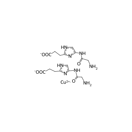 NCC(=O)Nc1c[nH]c(CCC(=O)[O-])n1.NCC(=O)Nc1c[nH]c(CCC(=O)[O-])n1.[Cu+2]